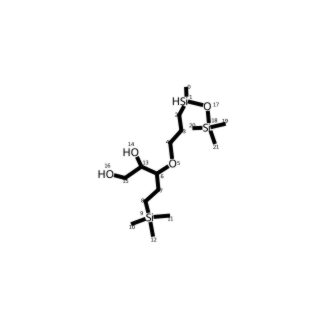 C[SiH](CCCOC(CC[Si](C)(C)C)C(O)CO)O[Si](C)(C)C